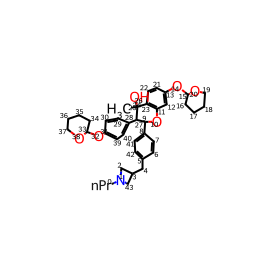 CCCN1CC(Cc2ccc(C3Oc4cc(OC5CCCCO5)ccc4C(C)(O)C3c3ccc(OC4CCCCO4)cc3)cc2)C1